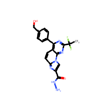 NNC(=O)c1cn2c(ccc3c(-c4ccc(CO)cc4)nc(C(F)(F)C(F)(F)F)nc32)n1